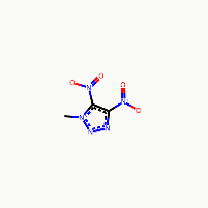 Cn1nnc([N+](=O)[O-])c1[N+](=O)[O-]